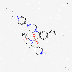 CC(=O)N(CC1CCNCC1)S(=O)(=O)c1ccc(C)cc1N1CCN(c2ccncc2)CC1